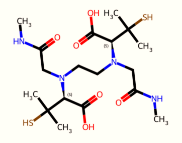 CNC(=O)CN(CCN(CC(=O)NC)[C@@H](C(=O)O)C(C)(C)S)[C@@H](C(=O)O)C(C)(C)S